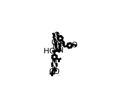 CCCCOc1nc(N(Cc2ccc(OC)cc2)Cc2ccc(OC)cc2)c2ncc(C(O)c3ccc(N4CCN(C(=O)OC(C)(C)C)CC4)c(C(C)C)c3)n2n1